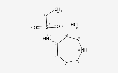 CCS(=O)(=O)N[C@H]1CCCNCC1.Cl